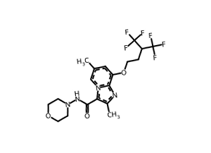 Cc1cc(OCCC(C(F)(F)F)C(F)(F)F)c2nc(C)c(C(=O)NN3CCOCC3)n2c1